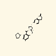 Cc1cc2c(c(OC3CCCC3)c1F)C(=O)N1C[C@@H](Oc3cc4c(cn3)CCC(=O)N4)C[C@@H]1CO2